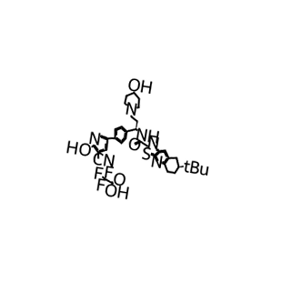 CC(C)(C)[C@H]1CCc2nc3sc(C(=O)N[C@H](CCN4CCC(O)CC4)c4ccc(-c5cnc(O)c(C#N)c5)cc4)nc3cc2C1.O=C(O)C(F)(F)F